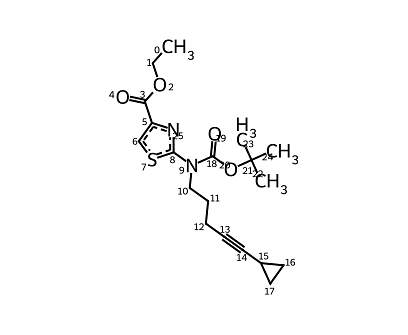 CCOC(=O)c1csc(N(CCCC#CC2CC2)C(=O)OC(C)(C)C)n1